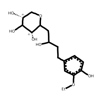 CCOc1cc(CCC(O)CC2OC[C@@H](O)C(O)[C@H]2O)ccc1O